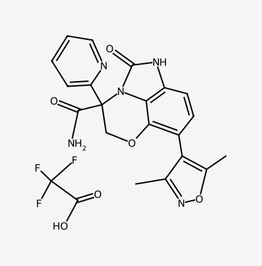 Cc1noc(C)c1-c1ccc2[nH]c(=O)n3c2c1OCC3(C(N)=O)c1ccccn1.O=C(O)C(F)(F)F